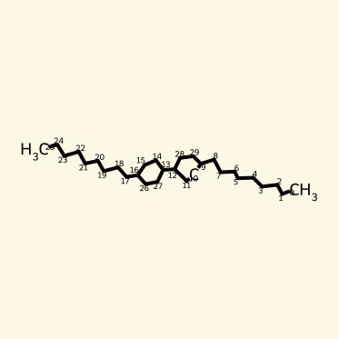 CCCCCCCCCC1CCC(C2CCC(CCCCCCCCC)CC2)CC1